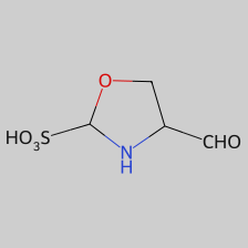 O=CC1COC(S(=O)(=O)O)N1